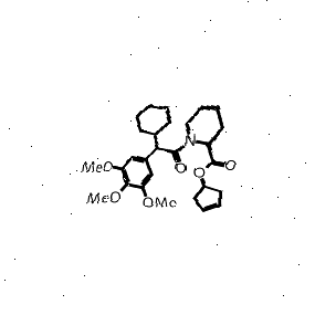 COc1cc(C(C(=O)N2CCCCC2C(=O)OC2CC=CC2)C2CCCCC2)cc(OC)c1OC